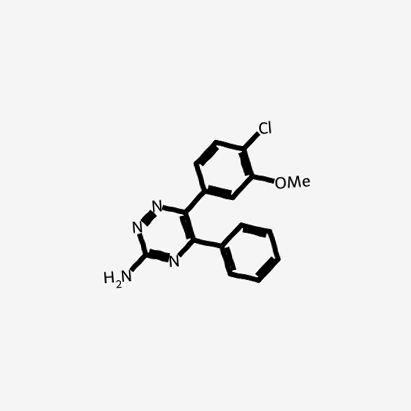 COc1cc(-c2nnc(N)nc2-c2ccccc2)ccc1Cl